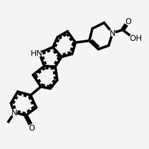 Cn1ccc(-c2ccc3c(c2)[nH]c2ccc(C4=CCN(C(=O)O)CC4)cc23)cc1=O